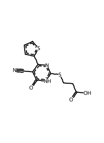 N#Cc1c(-c2cccs2)nc(SCCC(=O)O)[nH]c1=O